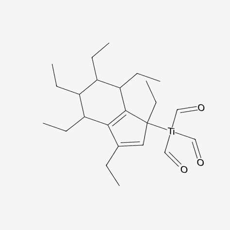 CCC1=C[C](CC)([Ti]([CH]=O)([CH]=O)[CH]=O)C2=C1C(CC)C(CC)C(CC)C2CC